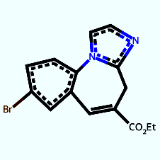 CCOC(=O)C1=Cc2cc(Br)ccc2-n2ccnc2C1